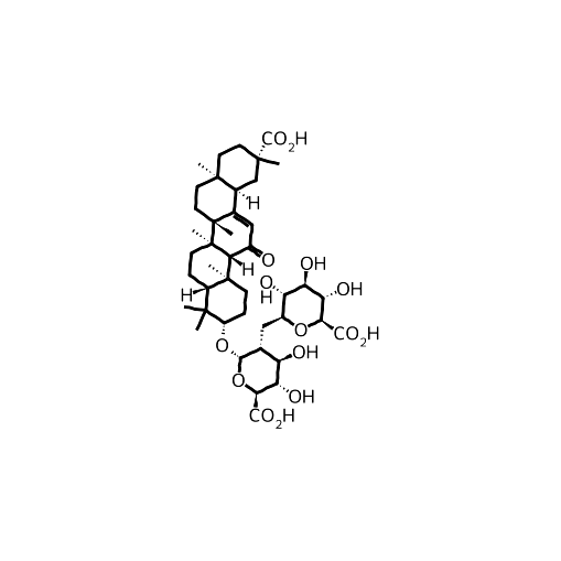 CC1(C)[C@@H](O[C@H]2O[C@H](C(=O)O)[C@@H](O)[C@H](O)[C@H]2C[C@@H]2O[C@H](C(=O)O)[C@@H](O)[C@H](O)[C@H]2O)CC[C@]2(C)[C@H]3C(=O)C=C4[C@@H]5C[C@@](C)(C(=O)O)CC[C@]5(C)CC[C@@]4(C)[C@]3(C)CC[C@@H]12